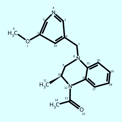 COc1cncc(CN2C[C@H](C)N(C(C)=O)c3ccccc32)c1